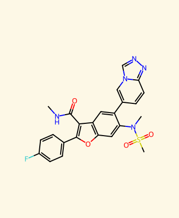 CNC(=O)c1c(-c2ccc(F)cc2)oc2cc(N(C)S(C)(=O)=O)c(-c3ccc4nncn4c3)cc12